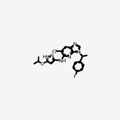 CC(C)Oc1cc(Nc2nc3c(cc2Cl)ncn3C(C)c2ccc(F)cc2)n[nH]1